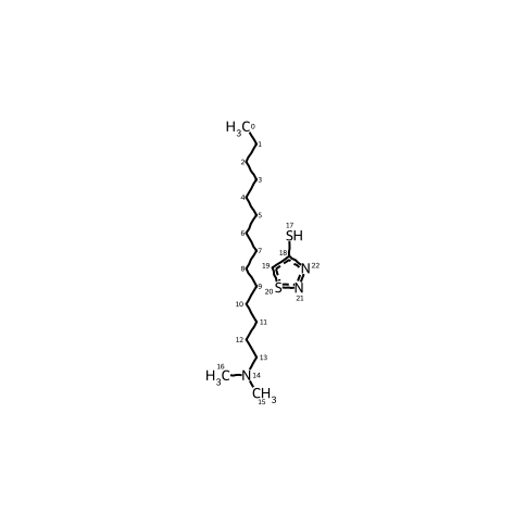 CCCCCCCCCCCCCCN(C)C.Sc1csnn1